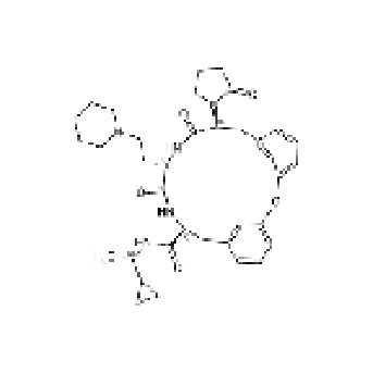 C[C@H](NC(=O)[C@@H]1Cc2cccc(c2)Oc2cccc(c2)C[C@H](N2CCCC2=O)C(=O)N[C@@H](CCN2CCCCC2)C(=O)N1)C1CC1